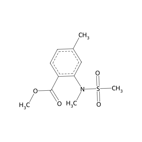 COC(=O)c1ccc(C)cc1N(C)S(C)(=O)=O